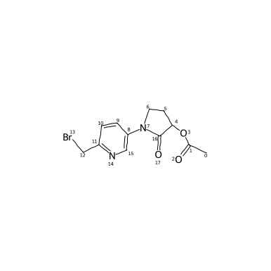 CC(=O)OC1CCN(c2ccc(CBr)nc2)C1=O